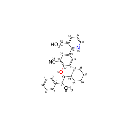 CC(c1ccccc1)C(Oc1ccc(-c2ncccc2C(=O)O)cc1C#N)C1CCCCC1